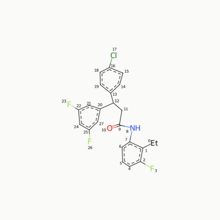 CCc1c(F)cccc1NC(=O)CC(c1ccc(Cl)cc1)c1cc(F)cc(F)c1